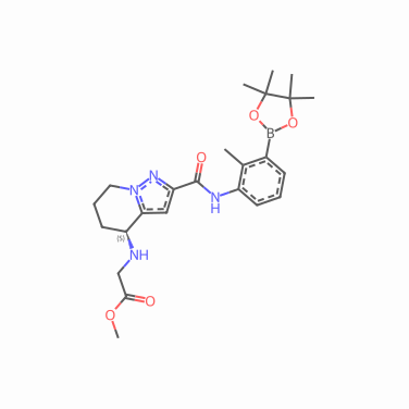 COC(=O)CN[C@H]1CCCn2nc(C(=O)Nc3cccc(B4OC(C)(C)C(C)(C)O4)c3C)cc21